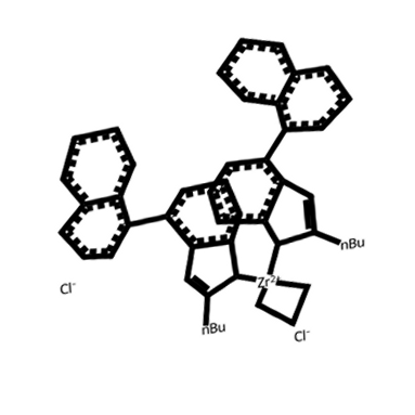 CCCCC1=Cc2c(-c3cccc4ccccc34)cccc2[CH]1[Zr+2]1([CH]2C(CCCC)=Cc3c(-c4cccc5ccccc45)cccc32)[CH2]C[CH2]1.[Cl-].[Cl-]